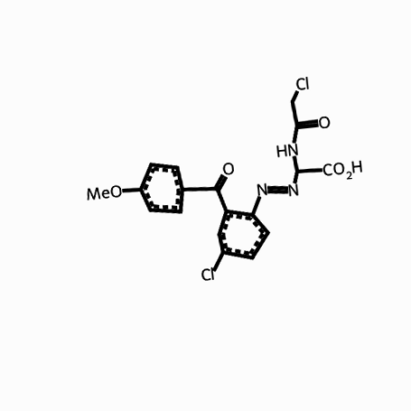 COc1ccc(C(=O)c2cc(Cl)ccc2N=NC(NC(=O)CCl)C(=O)O)cc1